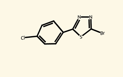 Clc1ccc(-c2nnc(Br)s2)cc1